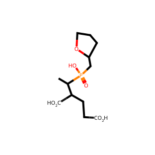 CC(C(CCC(=O)O)C(=O)O)P(=O)(O)CC1CCCO1